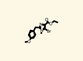 CCOC(=O)c1nc(Cc2ccc(OC)cc2)n(C)c1Br